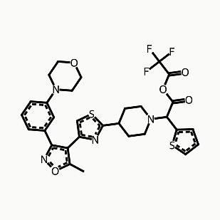 Cc1onc(-c2cccc(N3CCOCC3)c2)c1-c1csc(C2CCN(C(C(=O)OC(=O)C(F)(F)F)c3cccs3)CC2)n1